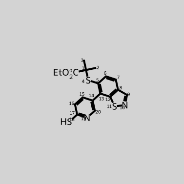 CCOC(=O)C(C)(C)Sc1ccc2cnsc2c1-c1ccc(S)nc1